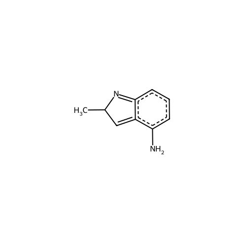 CC1C=c2c(N)cccc2=N1